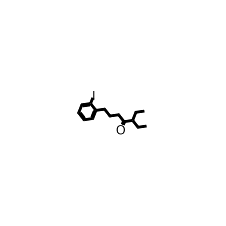 CCC(CC)C(=O)CCCc1ccccc1I